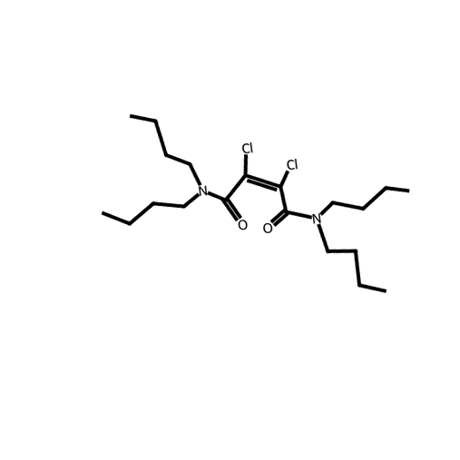 CCCCN(CCCC)C(=O)/C(Cl)=C(/Cl)C(=O)N(CCCC)CCCC